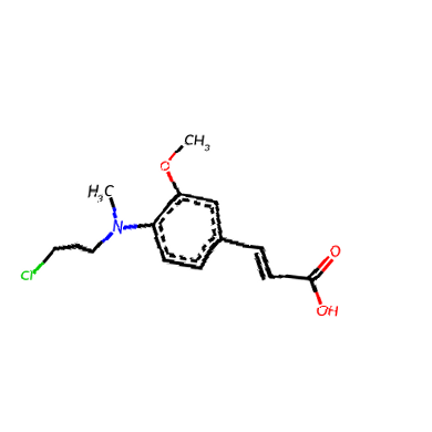 COc1cc(C=CC(=O)O)ccc1N(C)CCCl